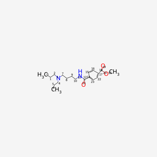 CCCN(CCC)CCCCNC(=O)c1ccc(C(=O)OC)cc1